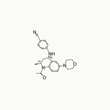 CC(=O)N1c2ccc(N3CCOCC3)cc2[C@H](Nc2ccc(C#N)cc2)C[C@@H]1C